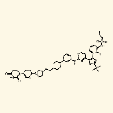 CCCS(=O)(=O)Nc1cccc(-c2nc(C(C)(C)C)sc2-c2ccnc(Nc3cccc(C4CCN(CC[C@H]5CCN(c6ccc([C@@H]7CCC(=O)NC7=O)cn6)C5)CC4)c3)n2)c1F